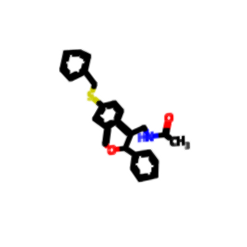 CC(=O)NCC1=c2ccc(SCc3ccccc3)cc2=COC1c1ccccc1